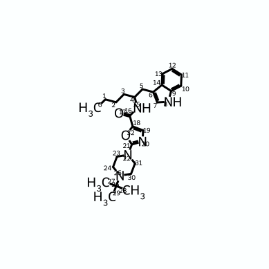 CCCCC(Cc1c[nH]c2ccccc12)NC(=O)c1cnc(N2CCN(C(C)(C)C)CC2)o1